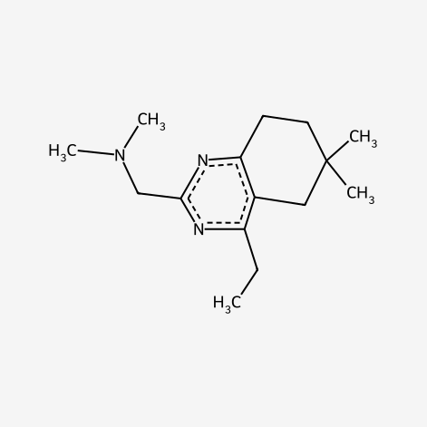 CCc1nc(CN(C)C)nc2c1CC(C)(C)CC2